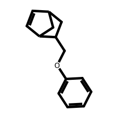 C1=CC2CC1CC2COc1ccccc1